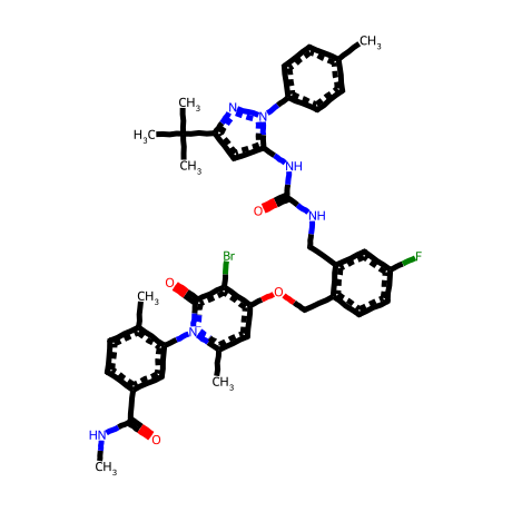 CNC(=O)c1ccc(C)c(-n2c(C)cc(OCc3ccc(F)cc3CNC(=O)Nc3cc(C(C)(C)C)nn3-c3ccc(C)cc3)c(Br)c2=O)c1